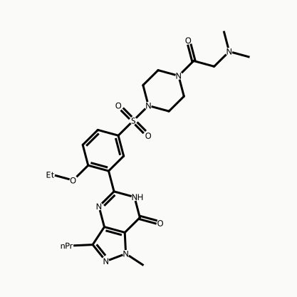 CCCc1nn(C)c2c(=O)[nH]c(-c3cc(S(=O)(=O)N4CCN(C(=O)CN(C)C)CC4)ccc3OCC)nc12